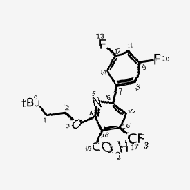 CC(C)(C)CCOc1nc(-c2cc(F)cc(F)c2)cc(C(F)(F)F)c1C(=O)O